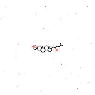 CC[C@]1(O)CCC2(C)C(CCC3C4CCC(C[C@@H](O)CCC(C)C)C4(C)CCC32)C1